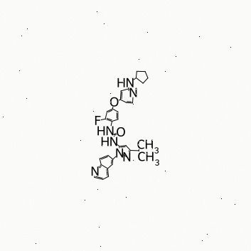 CC(C)c1cc(NC(=O)Nc2ccc(Oc3ccnc(NC4CCCC4)c3)cc2F)n(-c2ccc3ncccc3c2)n1